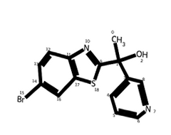 CC(O)(c1cccnc1)c1nc2ccc(Br)cc2s1